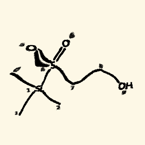 C[Si](C)(C)S(=O)(=O)CCO